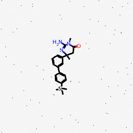 CN1C(=O)CC(C)(c2cccc(-c3ccc([Si](C)(C)C)cc3)c2)N=C1N